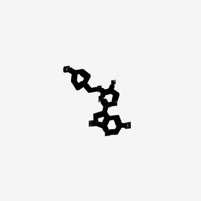 Fc1cnc(-c2c[nH]c3ncc(Cl)cc23)nc1SCc1ccc(Cl)cc1